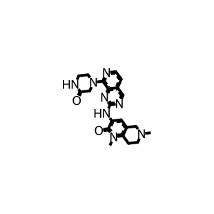 CN1CCc2c(cc(Nc3ncc4ccnc(N5CCNC(=O)C5)c4n3)c(=O)n2C)C1